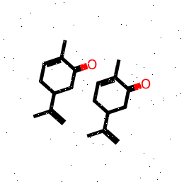 C=C(C)C1CC=C(C)C(=O)C1.C=C(C)C1CC=C(C)C(=O)C1